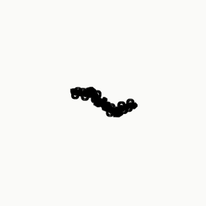 C=CC(=O)OCOC(=O)c1cccc(C(=O)Oc2ccc3c(c2)C(C)c2cc(OC(=O)c4cccc(C(=O)OCOC(=O)C=C)c4)ccc2-3)c1